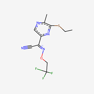 CCSc1nc(/C(C#N)=N/OCC(F)(F)F)cnc1C